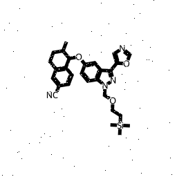 CC1CCc2cc(C#N)ccc2C1Oc1ccc2c(c1)c(-c1cnco1)nn2COCC[Si](C)(C)C